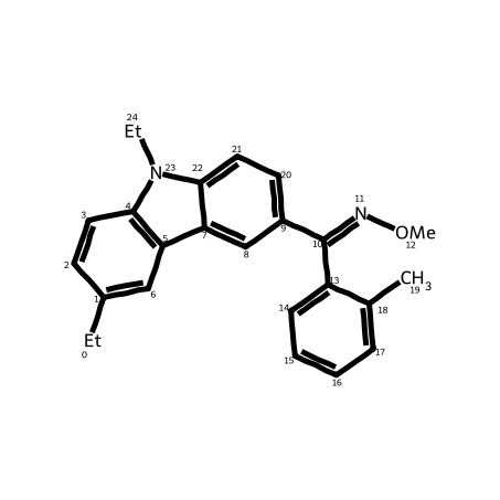 CCc1ccc2c(c1)c1cc(C(=NOC)c3ccccc3C)ccc1n2CC